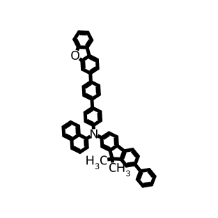 CC1(C)c2cc(-c3ccccc3)ccc2-c2ccc(N(c3ccc(-c4ccc(-c5ccc6c(c5)oc5ccccc56)cc4)cc3)c3cccc4ccccc34)cc21